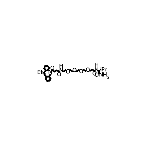 CC/C1=C/c2ccccc2CN(C(=O)CCC(=O)NCCOCCOCCOCCOCCC(=O)N[C@H](C(N)=O)C(C)C)c2ccccc21